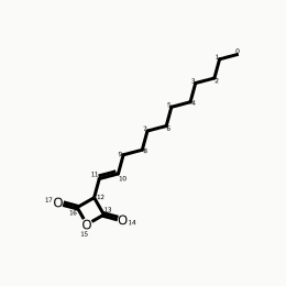 CCCCCCCCCC/C=C/C1C(=O)OC1=O